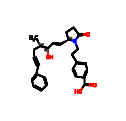 C[C@@H](CC#Cc1ccccc1)[C@@H](O)C=C[C@H]1CCC(=O)N1CCc1ccc(C(=O)O)cc1